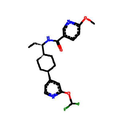 CC[C@H](NC(=O)c1ccc(OC)nc1)[C@H]1CC[C@H](c2ccnc(OC(F)F)c2)CC1